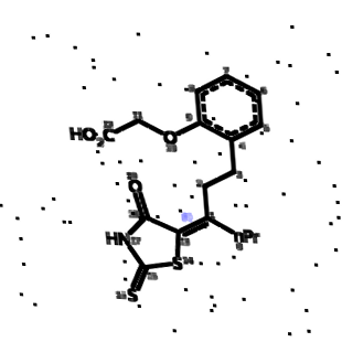 CCC/C(CCc1ccccc1OCC(=O)O)=C1\SC(=S)NC1=O